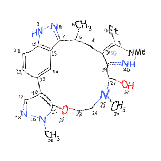 CC/C(NC)=C1\CC(C)c2n[nH]c3ccc(cc23)-c2cnn(C)c2OCCN(C)C(O)C1=N